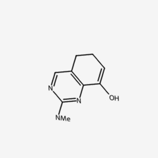 CNc1ncc2c(n1)C(O)=CCC2